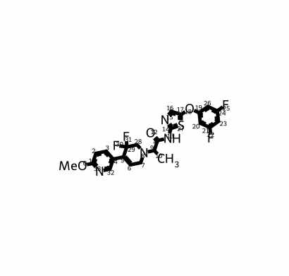 COc1ccc(C2=CCN(C(C)C(=O)Nc3ncc(Oc4cc(F)cc(F)c4)s3)CC2(F)F)cn1